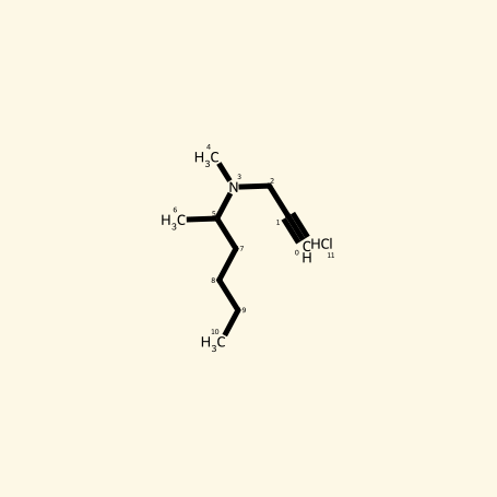 C#CCN(C)C(C)CCCC.Cl